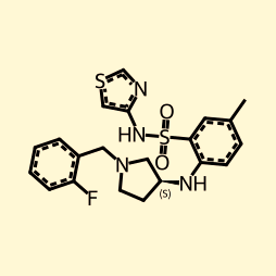 Cc1ccc(N[C@H]2CCN(Cc3ccccc3F)C2)c(S(=O)(=O)Nc2cscn2)c1